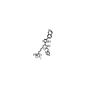 CNC(=O)CCCCCC(NC(=O)Cn1cncn1)c1ncc(-c2ccc3ccncc3c2)[nH]1